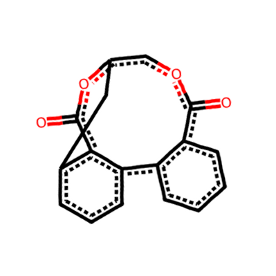 O=c1occ2oc(=O)c3c(cccc3c3ccccc13)C2